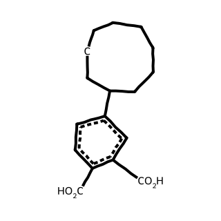 O=C(O)c1ccc(C2CCCCCCCC2)cc1C(=O)O